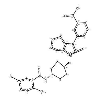 Cc1ncc(Cl)cc1C(=O)N[C@H]1CC[C@H](Cn2c(=O)n(-c3cccc(C(=O)O)c3)c3ccccc32)CC1